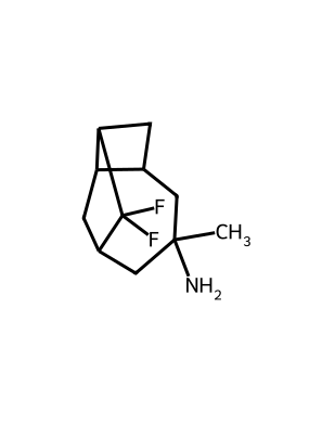 CC1(N)CC2CC3C2CC(C1)C3(F)F